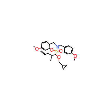 C=CC[C@H](C)[C@H](OCC1CC1)S(=O)(=O)N(Cc1ccc(OC)cc1)Cc1ccc(OC)cc1